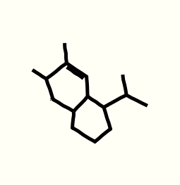 CC1=CC2C([C]C1C)CCCC2C(C)C